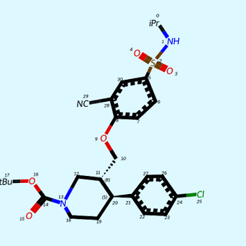 CC(C)NS(=O)(=O)c1ccc(OC[C@H]2CN(C(=O)OC(C)(C)C)CC[C@@H]2c2ccc(Cl)cc2)c(C#N)c1